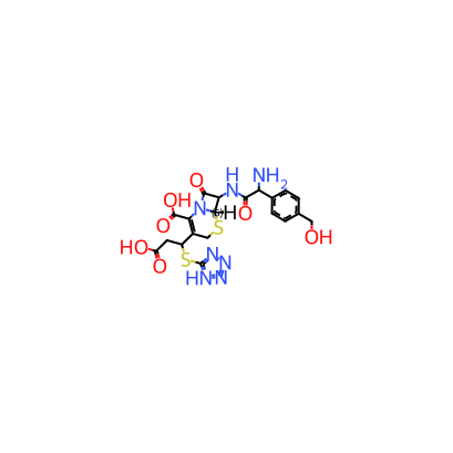 NC(C(=O)NC1C(=O)N2C(C(=O)O)=C(C(CC(=O)O)Sc3nnn[nH]3)CS[C@@H]12)c1ccc(CO)cc1